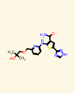 CC(C)(O)COCc1cccc(Nc2sc(-c3nc[nH]n3)cc2C(N)=O)n1